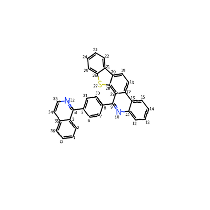 c1ccc2c(-c3ccc(-c4nc5ccccc5c5ccc6c7ccccc7sc6c45)cc3)nccc2c1